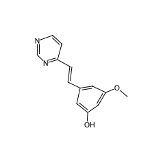 COc1cc(O)cc(/C=C/c2ccncn2)c1